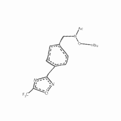 CCCCON(Cc1ccc(-c2noc(C(F)(F)F)n2)cc1)C(C)=O